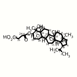 C=C(C)[C@@H]1CC[C@]2(C)CC[C@]3(C)[C@H](CC[C@@H]4[C@@]5(C)CC[C@H](OC(=O)CCC(=O)O)C(C)(C)[C@@H]5CC[C@]43C)[C@@H]12